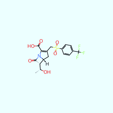 C[C@@H](O)[C@@H]1C(=O)N2C(C(=O)O)=C(CS(=O)(=O)c3ccc(C(F)(F)F)cc3)C[C@H]12